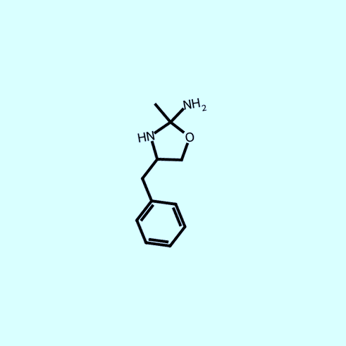 CC1(N)NC(Cc2ccccc2)CO1